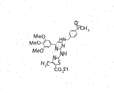 CCOC(=O)c1sc(Nc2nc(NCc3ccc([S+](C)[O-])cc3)cc(-c3cc(OC)c(OC)c(OC)c3)n2)nc1C